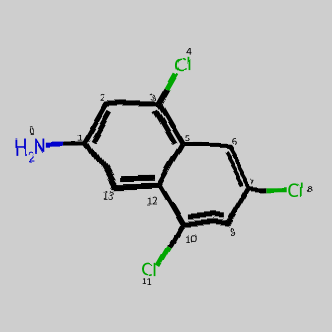 Nc1cc(Cl)c2cc(Cl)cc(Cl)c2c1